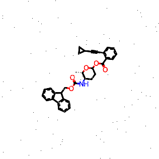 C[C@@H]1OC(OC(=O)c2ccccc2C#CC2CC2)CC[C@H]1NC(=O)OCC1c2ccccc2-c2ccccc21